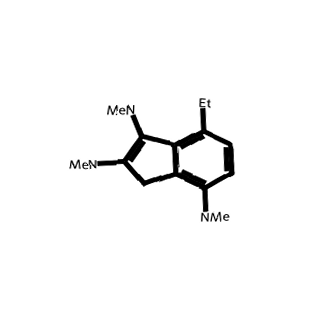 CCc1ccc(NC)c2c1C(NC)=C(NC)[CH]2